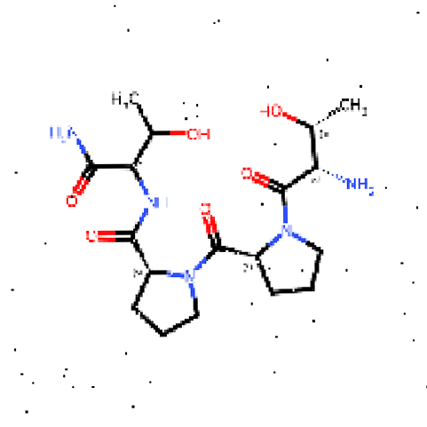 CC(O)C(NC(=O)[C@@H]1CCCN1C(=O)[C@@H]1CCCN1C(=O)[C@@H](N)[C@@H](C)O)C(N)=O